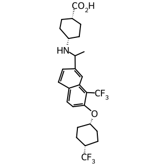 CC(N[C@H]1CC[C@@H](C(=O)O)CC1)c1ccc2ccc(O[C@H]3CC[C@@H](C(F)(F)F)CC3)c(C(F)(F)F)c2c1